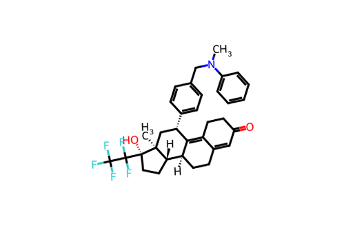 CN(Cc1ccc([C@H]2C[C@@]3(C)[C@@H](CC[C@@]3(O)C(F)(F)C(F)(F)F)[C@@H]3CCC4=CC(=O)CCC4=C32)cc1)c1ccccc1